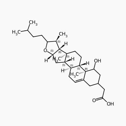 CC(C)CCC1O[C@H]2C[C@H]3[C@@H]4CC=C5CC(CC(=O)O)CC(O)[C@]5(C)[C@H]4CC[C@]3(C)[C@H]2[C@@H]1C